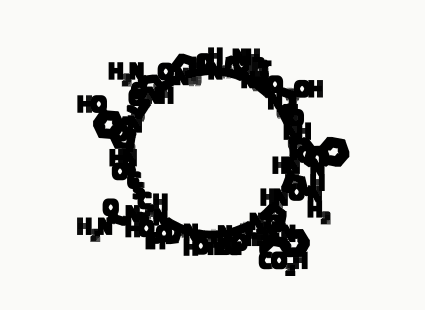 CCCC[C@H]1C(=O)N(C)[C@@H](CCCC)C(=O)N[C@@H](CC(C)C)C(=O)N[C@H](C(=O)NCC(N)=O)CSCC(=O)N[C@@H](Cc2ccc(O)cc2)C(=O)N(C)[C@@H](C)C(=O)N[C@@H](CC(N)=O)C(=O)N2CCC[C@H]2C(=O)N[C@@H](CN)C(=O)N[C@@H](CC(C)C)C(=O)N2C[C@H](O)C[C@H]2C(=O)N[C@@H](Cc2c[nH]c3ccccc23)C(=O)N[C@@H](CCN)C(=O)N[C@@H](Cc2nc(CC(=O)O)c3ccccn23)C(=O)N1C